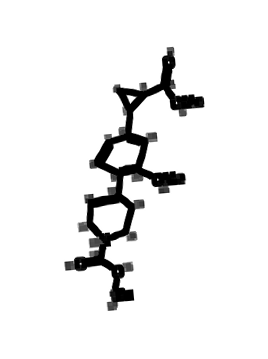 COC(=O)C1CC1c1ccc(C2=CCN(C(=O)OC(C)(C)C)CC2)c(OC)c1